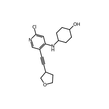 OC1CCC(Nc2cc(Cl)ncc2C#CC2CCOC2)CC1